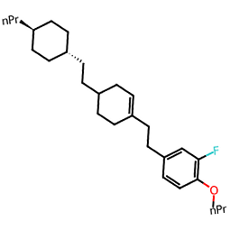 CCCOc1ccc(CCC2=CCC(CC[C@H]3CC[C@H](CCC)CC3)CC2)cc1F